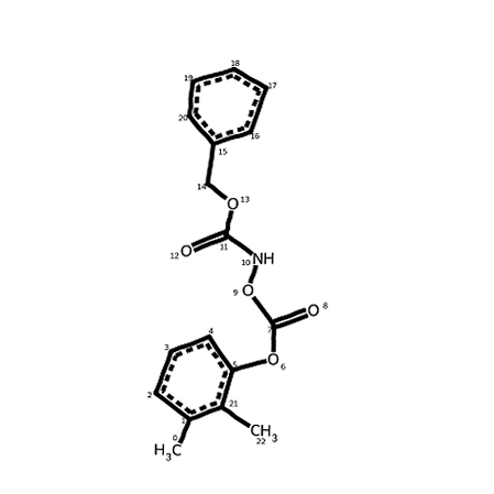 Cc1cccc(OC(=O)ONC(=O)OCc2ccccc2)c1C